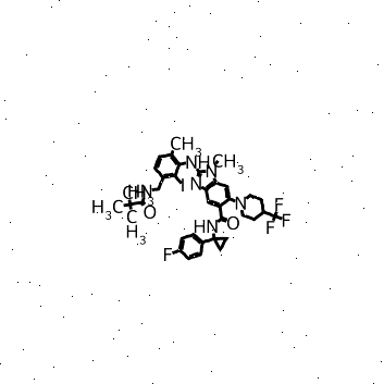 Cc1ccc(CNC(=O)C(C)(C)C)c(I)c1Nc1nc2cc(C(=O)NC3(c4ccc(F)cc4)CC3)c(N3CCC(C(F)(F)F)CC3)cc2n1C